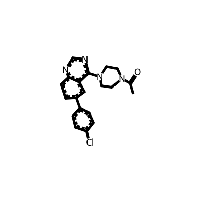 CC(=O)N1CCN(c2ncnc3ccc(-c4ccc(Cl)cc4)cc23)CC1